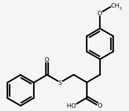 COc1ccc(CC(CSC(=O)c2ccccc2)C(=O)O)cc1